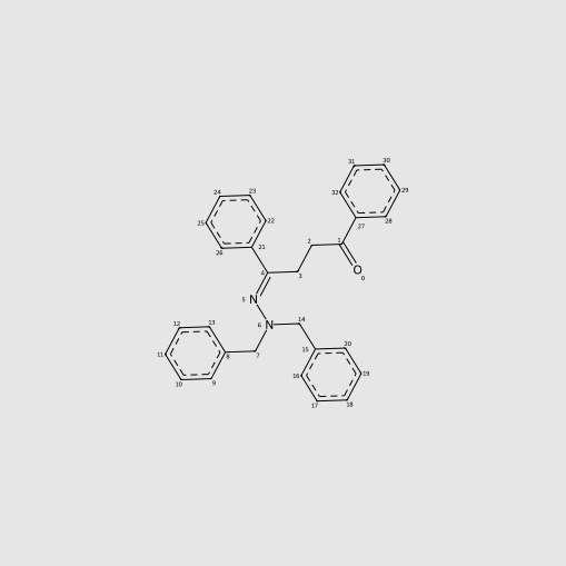 O=C(CCC(=NN(Cc1ccccc1)Cc1ccccc1)c1ccccc1)c1ccccc1